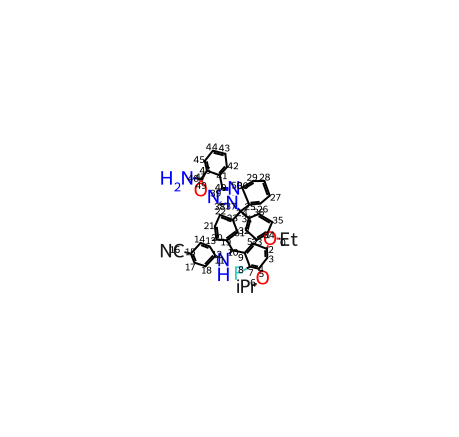 CCOc1cc(OC(C)C)c(F)c(C(Nc2ccc(C#N)cc2)c2cccc(C(c3ccccc3)(c3ccccc3)n3cnc(-c4ccccc4C(N)=O)n3)c2)c1